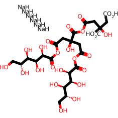 O=C(O)CC(O)(CC(=O)OC(=O)C(O)(CC(=O)OC(=O)[C@H](O)[C@@H](O)[C@H](O)[C@H](O)CO)CC(=O)OC(=O)[C@H](O)[C@@H](O)[C@H](O)[C@H](O)CO)C(=O)O.[NaH].[NaH].[NaH].[NaH].[NaH].[NaH]